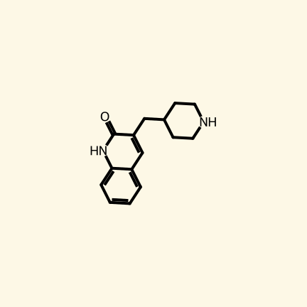 O=c1[nH]c2ccccc2cc1CC1CCNCC1